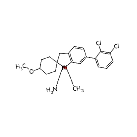 COC1CCC2(CC1)Cc1ccc(-c3cccc(Cl)c3Cl)cc1C21N=C(C)C(N)=N1